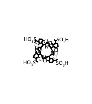 CC(c1ccc(Cl)c(-c2c3nc(c(-c4c(Cl)ccc(C(C)S(=O)(=O)O)c4Cl)c4ccc([nH]4)c(-c4c(Cl)ccc(C(C)S(=O)(=O)O)c4Cl)c4nc(c(-c5c(Cl)ccc(C(C)S(=O)(=O)O)c5Cl)c5ccc2[nH]5)C=C4)C=C3)c1Cl)S(=O)(=O)O